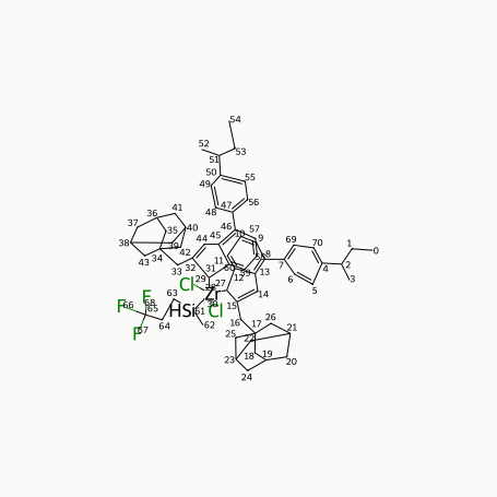 CCC(C)c1ccc(-c2cccc3c2C=C(CC24CC5CC(CC(C5)C2)C4)[CH]3[Zr]([Cl])([Cl])([CH]2C(CC34CC5CC(CC(C5)C3)C4)=Cc3c(-c4ccc(C(C)CC)cc4)cccc32)[SiH](C)CCC(F)(F)F)cc1